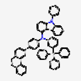 c1ccc(-n2c3ccccc3c3c(N(c4ccc(-c5ccc6ccc7ccccc7c6c5)cc4)c4cccc([Si](c5ccccc5)(c5ccccc5)c5ccccc5)c4)cccc32)cc1